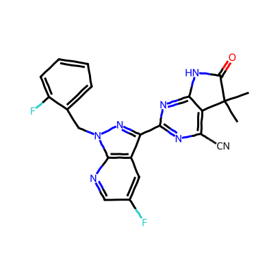 CC1(C)C(=O)Nc2nc(-c3nn(Cc4ccccc4F)c4ncc(F)cc34)nc(C#N)c21